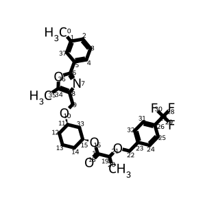 Cc1cccc(-c2nc(CO[C@H]3CCC[C@@H](OC(=O)C(C)OCc4ccc(C(F)(F)F)cc4)C3)c(C)o2)c1